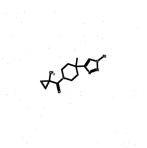 CCn1cc(C2(C)CCN(C(=O)C3(C(F)(F)F)CC3)CC2)nn1